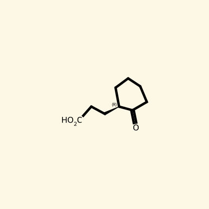 O=C(O)CC[C@H]1CCCCC1=O